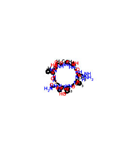 CC(C)[C@@H]1NC(=O)[C@H](CC(=O)O)NC(=O)[C@H](C)N(C)C(=O)[C@@H](Cc2c[nH]c3ccccc23)NC(=O)CSC[C@@H](C(=O)NCC(N)=O)NC(=O)[C@H](Cc2ccccc2)N(C)C(=O)[C@H](Cc2ccc(O)cc2)NC(=O)CN(C)C(=O)[C@H](Cc2ccccc2)N(C)C(=O)[C@H](CCCNC(=N)N)NC(=O)CNC(=O)[C@H](CO)N(C)C1=O